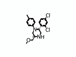 COC[C@H]1CN(c2ccc(C)cc2)[C@H](c2ccc(Cl)cc2Cl)CN1